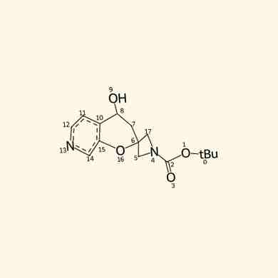 CC(C)(C)OC(=O)N1CC2(CC(O)c3ccncc3O2)C1